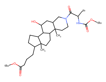 CC(C)C(NC(=O)OC(C)(C)C)C(=O)N1CCC2(C)C(CC(O)C3C4CCC(CCCC(=O)OC(C)(C)C)C4(C)CCC32)C1